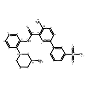 CS(=O)(=O)c1cccc(-c2ccc(N)c(C(=O)Nc3cnccc3N3CCC[C@H](N)C3)n2)c1